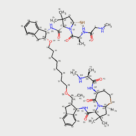 CNCC(=O)N[C@@H](C)C(=O)N1[C@@H](S)CC(C)(C)[C@H]1C(=O)N[C@H]1c2ccccc2C[C@H]1OCCCCCCCCO[C@H](C)C1Cc2ccccc2[C@@H]1NC(=O)[C@H]1N2C(=O)[C@@H](NC(=O)[C@H](C)NC)CCS[C@H]2CC1(C)C